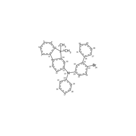 CC1(C)c2ccccc2-c2ccc(N(c3ccccc3)c3ccc(Br)c(-c4ccccc4)c3)cc21